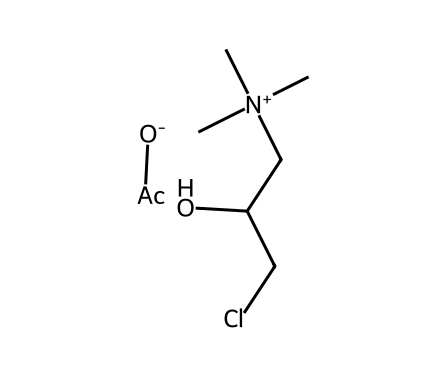 CC(=O)[O-].C[N+](C)(C)CC(O)CCl